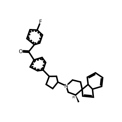 C[C@H]1CN(C2CCC(c3ccc(C(=O)c4ccc(F)cc4)cc3)C2)CCC12C=CC1C=CC=CC12